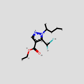 CCCC(C)n1ncc(C(=O)OCC)c1C(F)F